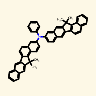 CC1(C)c2cc3cc(N(c4ccccc4)c4ccc5c6c(ccc5c4)-c4cc5ccccc5cc4C6(C)C)ccc3cc2-c2ccc3ccccc3c21